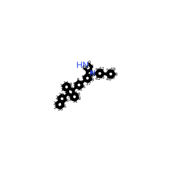 C1=Cc2c(c3cc(-c4ccc(-c5c6ccccc6c(-c6ccc7ccccc7c6)c6ccccc56)cc4)ccc3n2-c2ccc(-c3ccccc3)cc2)CN1